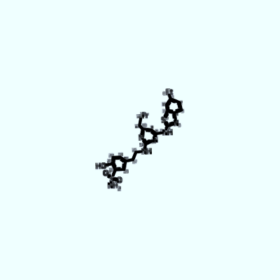 CCc1ccc2nc(Nc3cc(CC(C)C)nc(NCCc4ccc(O)c(S(N)(=O)=O)c4)n3)sc2c1